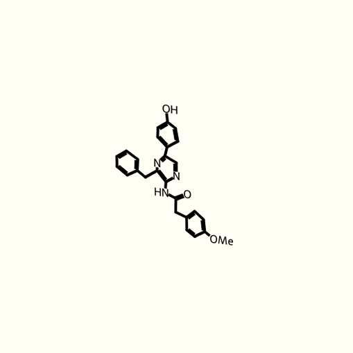 COc1ccc(CC(=O)Nc2ncc(-c3ccc(O)cc3)nc2Cc2ccccc2)cc1